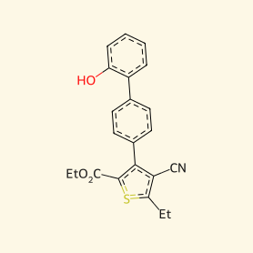 CCOC(=O)c1sc(CC)c(C#N)c1-c1ccc(-c2ccccc2O)cc1